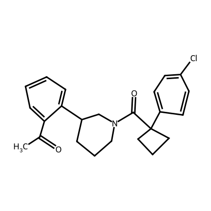 CC(=O)c1ccccc1C1CCCN(C(=O)C2(c3ccc(Cl)cc3)CCC2)C1